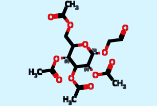 CC(=O)OCC1O[C@H](OCC=O)[C@H](OC(C)=O)C(OC(C)=O)[C@@H]1OC(C)=O